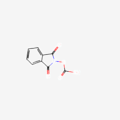 O=C(O)ON1C(=O)c2ccccc2C1=O